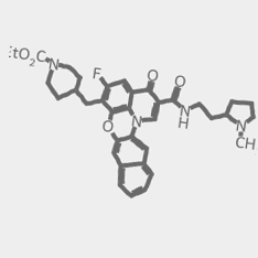 CCOC(=O)N1CCC(Cc2c(F)cc3c(=O)c(C(=O)NCCC4CCCN4C)cn4c3c2Oc2cc3ccccc3cc2-4)CC1